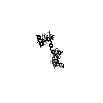 Cc1ccc2c(c1)Oc1cc(C)ccc1C2NC(=O)c1cc(Cc2ccc(Cc3ccc4c(c3)Oc3cc(C)ccc3C4NC(=O)c3cc(C4=CCN(C)CC4)c(C(F)(F)F)[nH]c3=O)cc2)c(C(F)(F)F)[nH]c1=O